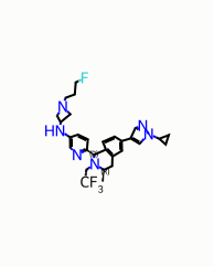 C[C@@H]1Cc2cc(-c3cnn(C4CC4)c3)ccc2[C@H](c2ccc(NC3CN(CCCF)C3)cn2)N1CC(F)(F)F